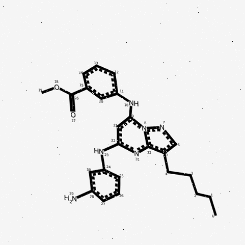 CCCCCc1cnn2c(Nc3cccc(C(=O)OC)c3)cc(Nc3cccc(N)c3)nc12